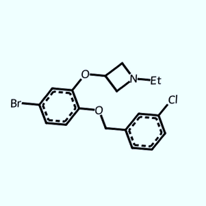 CCN1CC(Oc2cc(Br)ccc2OCc2cccc(Cl)c2)C1